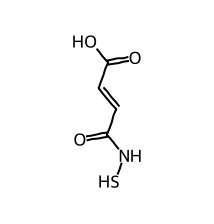 O=C(O)C=CC(=O)NS